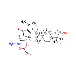 CC(=O)OC(C(=O)NN)[C@@]12CC[C@]3(C)[C@H](CC[C@@H]4[C@@]5(C)CC[C@H](O)C(C)(C)[C@@H]5CC[C@]43C)C1=C(C(C)C)C(=O)C2